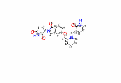 O=C1CCC(N2Cc3cc(OC[C@@H]4CCCCN4Cc4ccc[nH]c4=O)ccc3C2=O)C(=O)N1